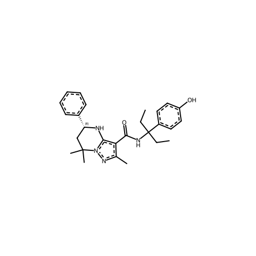 CCC(CC)(NC(=O)c1c(C)nn2c1N[C@@H](c1ccccc1)CC2(C)C)c1ccc(O)cc1